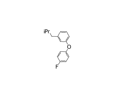 CC(C)Cc1cccc(Oc2ccc(F)cc2)c1